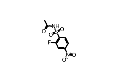 CC(=O)NS(=O)(=O)c1ccc([N+](=O)[O-])cc1F